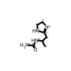 CC(CC1=NCCN1)NC(N)=O